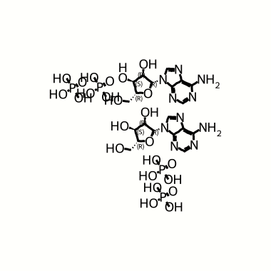 Nc1ncnc2c1ncn2[C@@H]1O[C@H](CO)[C@@H](O)[C@H]1O.Nc1ncnc2c1ncn2[C@@H]1O[C@H](CO)[C@@H](O)[C@H]1O.O=P(O)(O)O.O=P(O)(O)O.O=P(O)(O)O.O=P(O)(O)O